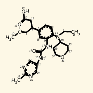 CCN(c1ccc(C(COC)CC(=O)O)cc1NC(=O)Nc1cnc(C)nc1)C1CCOCC1